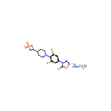 CCOC(=O)NC[C@H]1CN(c2cc(F)c(N3CCC(C4CS(=O)(=O)C4)CC3)c(F)c2)C(=O)O1